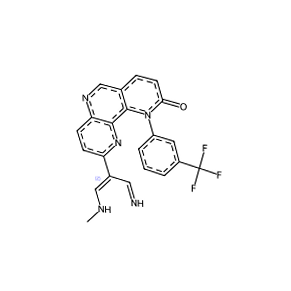 CN/C=C(\C=N)c1ccc2ncc3ccc(=O)n(-c4cccc(C(F)(F)F)c4)c3c2n1